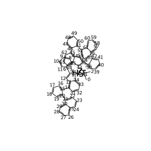 C[SiH](C)[Zr]([CH]1C(c2ccccc2)=Cc2c(-c3ccccc3-c3cccc4ccccc34)cccc21)[CH]1C(c2ccccc2)=Cc2c(-c3ccccc3-c3cccc4ccccc34)cccc21